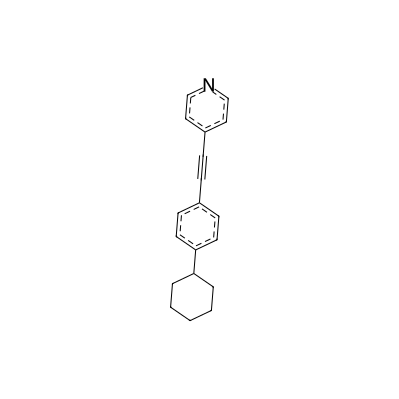 C(#Cc1ccc(C2CCCCC2)cc1)c1ccncc1